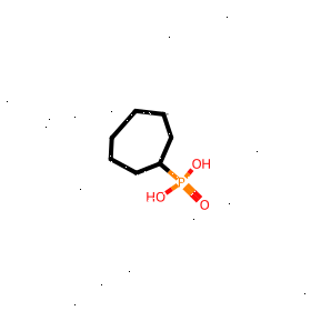 O=P(O)(O)C1C[CH]CCCC1